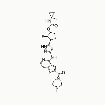 CC1(NC(=O)O[C@H]2CC[C@@H](c3cc(Nc4nccc5nc(C(=O)N6CCNCC6)cn45)n[nH]3)[C@H]2F)CC1